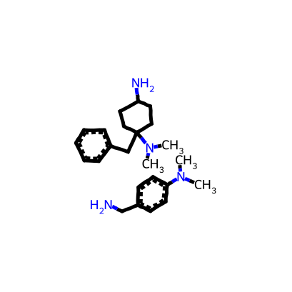 CN(C)C1(Cc2ccccc2)CCC(N)CC1.CN(C)c1ccc(CN)cc1